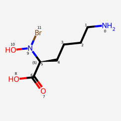 NCCCC[C@@H](C(=O)O)N(O)Br